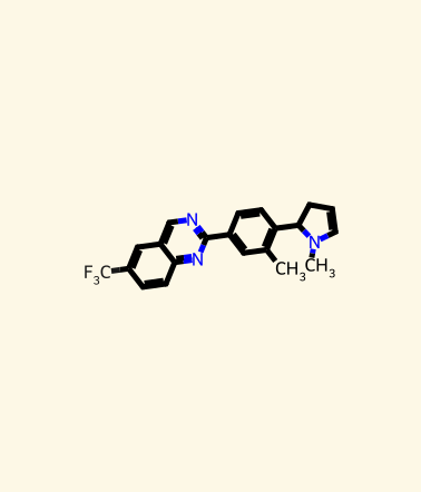 Cc1cc(-c2ncc3cc(C(F)(F)F)ccc3n2)ccc1C1CC=CN1C